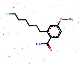 CCCCCCCCCCOc1ccc(C(N)=O)c(CCCCCCBr)c1